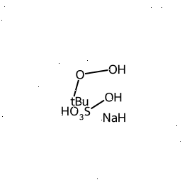 CC(C)(C)OO.O=S(=O)(O)O.[NaH]